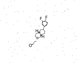 O=CCC[C@@H]1CC[C@@H]2CC(c3ccc(F)c(F)c3)CC[C@@H]2C1